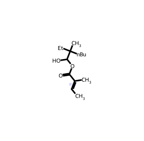 C/C=C(\C)C(=O)OC(O)C(C)(CC)CCCC